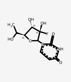 CC(O)[C@@H]1OC(n2ccc(=O)[nH]c2=O)[C@@](O)(F)[C@H]1O